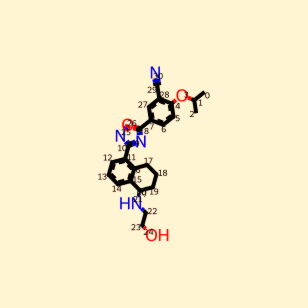 CC(C)Oc1ccc(-c2nc(-c3cccc4c3CCC[C@H]4NCCO)no2)cc1C#N